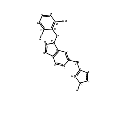 Cn1ccc(Nc2cc3c(cn2)cnn3Cc2c(F)cccc2F)n1